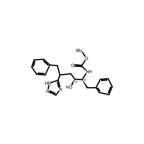 CC(C)(C)OC(=O)N[C@@H](Cc1ccccc1)[C@@H](O)CC(Cc1ccccc1)c1ncn[nH]1